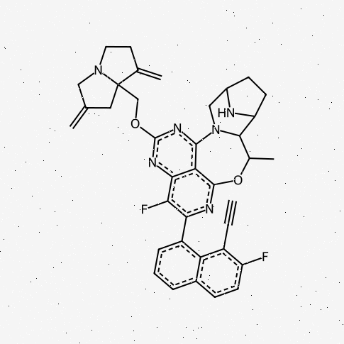 C#Cc1c(F)ccc2cccc(-c3nc4c5c(nc(OCC67CC(=C)CN6CCC7=C)nc5c3F)N3CC5CCC(N5)C3C(C)O4)c12